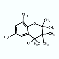 Cc1cc(C)c2c(c1)C(C)(C)C(C)(C)C(C)(C)O2